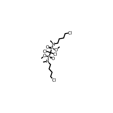 COP(=O)(N(C)CCCCCl)C(Cl)(Cl)P(=O)(OC)N(C)CCCCCl